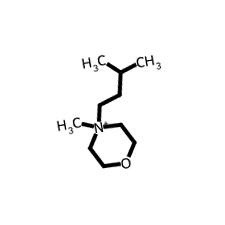 CC(C)CC[N+]1(C)CCOCC1